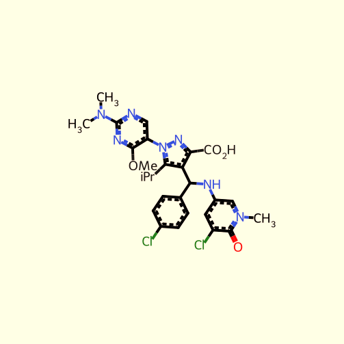 COc1nc(N(C)C)ncc1-n1nc(C(=O)O)c(C(Nc2cc(Cl)c(=O)n(C)c2)c2ccc(Cl)cc2)c1C(C)C